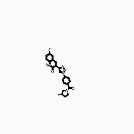 O=C(c1ccc(-n2cc(-c3cc4cc(F)ccc4[nH]c3=O)nn2)cc1)N1CC[C@@H](I)C1